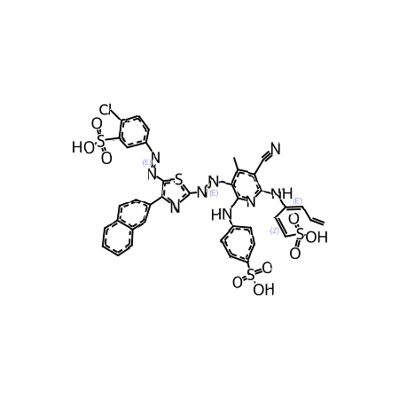 C=C/C=C(\C=C/S(=O)(=O)O)Nc1nc(Nc2ccc(S(=O)(=O)O)cc2)c(/N=N/c2nc(-c3ccc4ccccc4c3)c(/N=N/c3ccc(Cl)c(S(=O)(=O)O)c3)s2)c(C)c1C#N